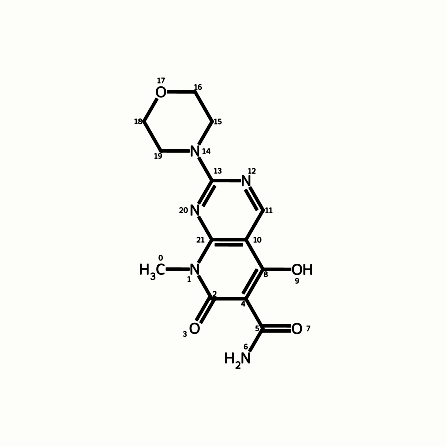 Cn1c(=O)c(C(N)=O)c(O)c2cnc(N3CCOCC3)nc21